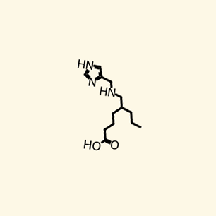 CCCC(CCCC(=O)O)CNCc1c[nH]cn1